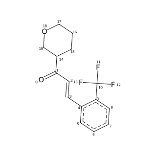 O=C(/C=C/c1ccccc1C(F)(F)F)C1CCCOC1